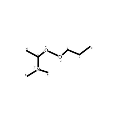 CCCOOC(C)N(C)C